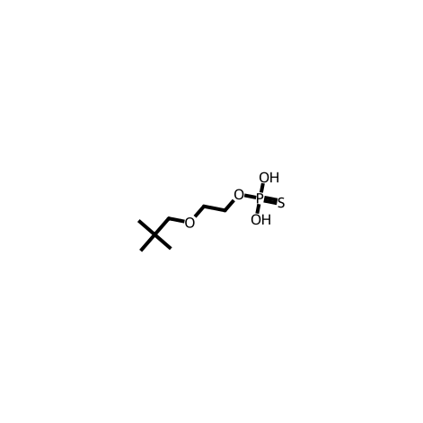 CC(C)(C)COCCOP(O)(O)=S